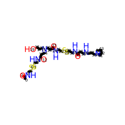 CC(=O)NCCSSCCNC(=O)CCN(CCCO)CCC(=O)NCCSSCCNC(=O)CCNCCCN1CCCC1